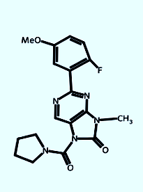 COc1ccc(F)c(-c2ncc3c(n2)n(C)c(=O)n3C(=O)N2CCCC2)c1